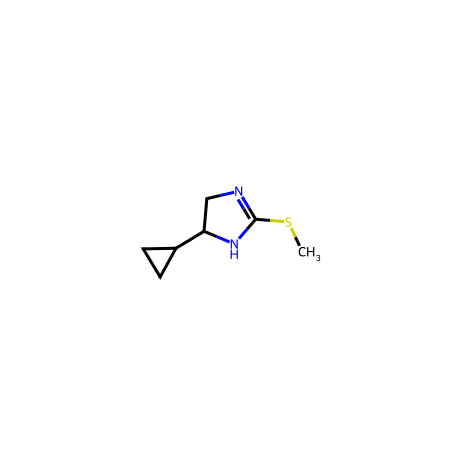 CSC1=NCC(C2CC2)N1